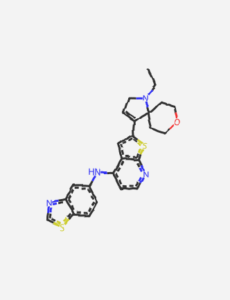 CCN1CC=C(c2cc3c(Nc4ccc5scnc5c4)ccnc3s2)C12CCOCC2